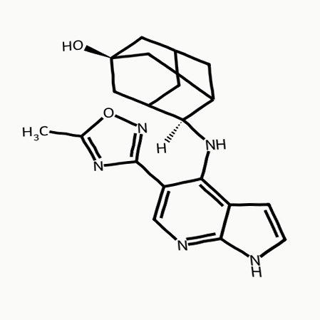 Cc1nc(-c2cnc3[nH]ccc3c2N[C@H]2C3CC4CC2C[C@@](O)(C4)C3)no1